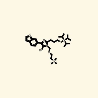 CC(C)[Si](OCCCc1nc(-c2ccc3ccoc3c2)c(Br)n1COCC[Si](C)(C)C)(C(C)C)C(C)C